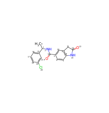 CC(NC(=O)c1ccc2c(c1)CC(=O)N2)c1cccc(Cl)c1